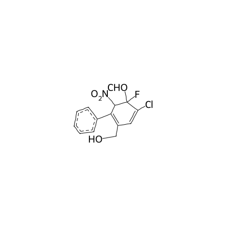 O=CC1(F)C(Cl)=CC(CO)=C(c2ccccc2)C1[N+](=O)[O-]